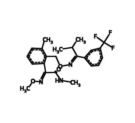 CNC(=O)/C(=N/OC)c1cccc(C)c1CO/N=C(/c1cccc(C(F)(F)F)c1)C(C)C